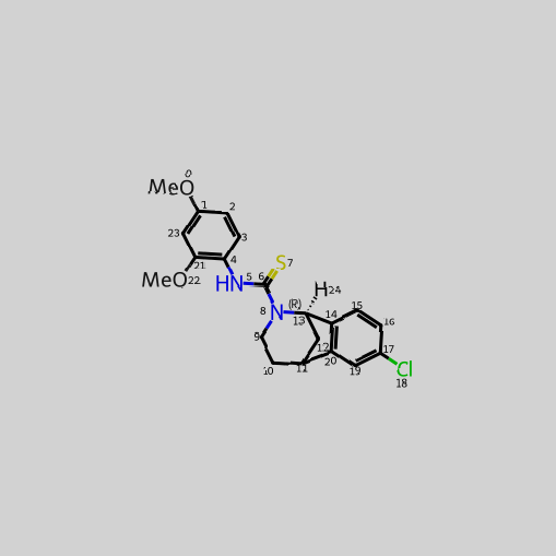 COc1ccc(NC(=S)N2CCC3C[C@@H]2c2ccc(Cl)cc23)c(OC)c1